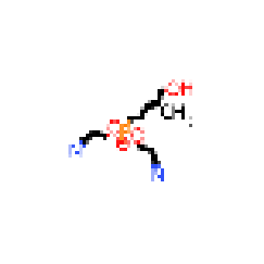 C/C(=C\CCP(=O)(OCCC#N)OCCC#N)CO